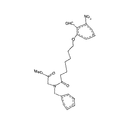 COC(=O)CN(Cc1ccccc1)C(=O)CCCCCCOc1cccc([N+](=O)[O-])c1C=O